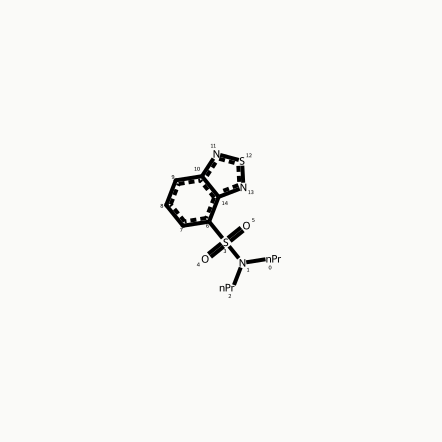 CCCN(CCC)S(=O)(=O)c1cccc2nsnc12